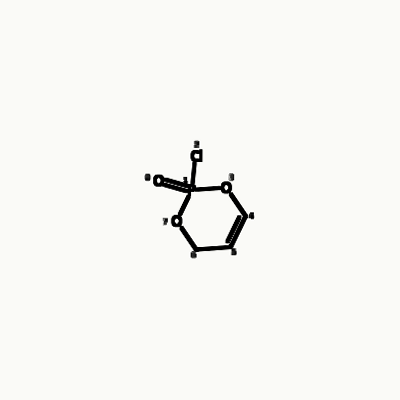 O=P1(Cl)OC=CCO1